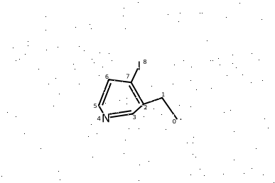 [CH2]Cc1cnccc1I